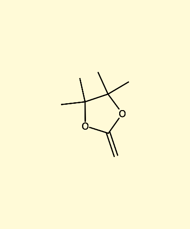 C=C1OC(C)(C)C(C)(C)O1